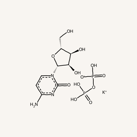 Nc1ccn([C@@H]2O[C@H](CO)[C@@H](O)[C@H]2O)c(=O)n1.O=P([O-])(O)OP(=O)(O)O.[K+]